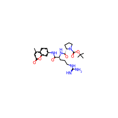 Cc1cc(=O)oc2cc(NC(=O)[C@H](CCCNC(=N)N)NC(=O)[C@@H]3CCCN3C(=O)OC(C)(C)C)ccc12